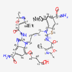 CCc1nc(C)oc1C(=O)/N=c1\sc2cc(C(N)=O)cc(OC)c2n1C/C=C/Cn1c(NC(=O)c2oc(C)nc2CC)nc2cc(C(N)=O)cc(OCCCO)c21